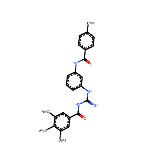 COc1ccc(C(=O)Nc2cccc(NC(=N)NC(=O)c3cc(OC)c(OC)c(OC)c3)c2)cc1